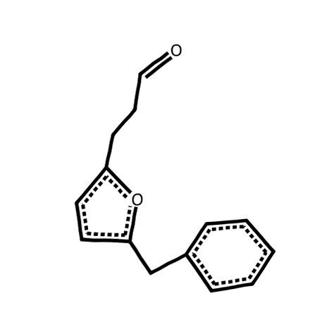 O=CCCc1ccc(Cc2ccccc2)o1